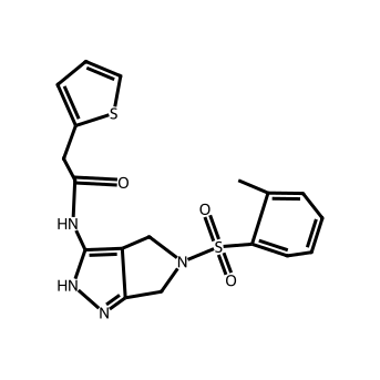 Cc1ccccc1S(=O)(=O)N1Cc2n[nH]c(NC(=O)Cc3cccs3)c2C1